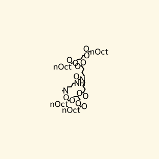 CCCCCCCCC(=O)OCC(COC(=O)CCCCCCCC)OC(=O)CCCN(CCCC(=O)OC(COC(=O)CCCCCCCC)COC(=O)CCCCCCCC)C(=O)NCCCN(C)C